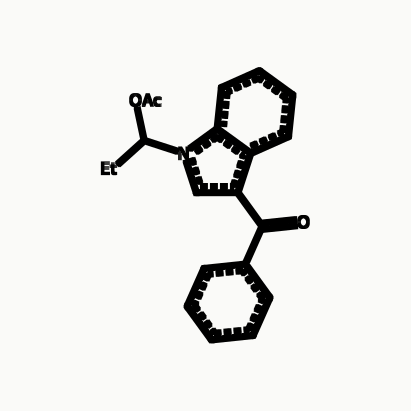 CCC(OC(C)=O)n1cc(C(=O)c2ccccc2)c2ccccc21